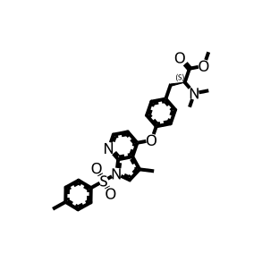 COC(=O)[C@H](Cc1ccc(Oc2ccnc3c2c(C)cn3S(=O)(=O)c2ccc(C)cc2)cc1)N(C)C